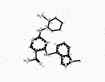 Cn1ncc2c(Nc3nc(N[C@@H]4CCCC[C@@H]4N)ncc3C(N)=O)cccc21